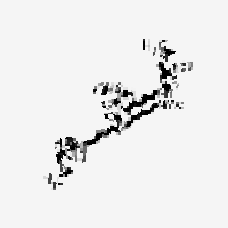 CCCCOC(CN1CC1C)OC(=O)NCCCCCCN(CCCCCCNC)C(=O)N(CCCCCCNC(=O)OC(CN1CC1C)OCCCC)C(=O)NC=O